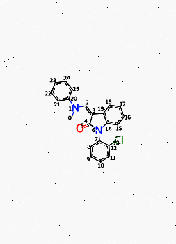 CN(C=C1C(=O)N(c2ccccc2Cl)c2ccccc21)c1ccccc1